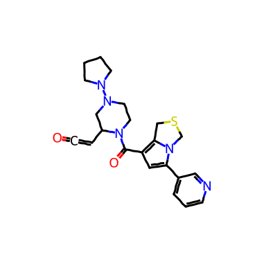 O=C=CC1CN(N2CCCC2)CCN1C(=O)c1cc(-c2cccnc2)n2c1CSC2